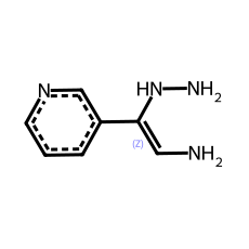 N/C=C(\NN)c1cccnc1